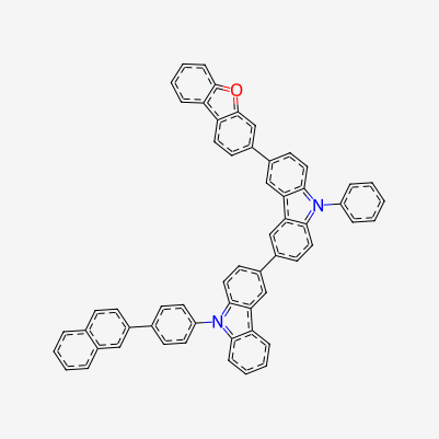 c1ccc(-n2c3ccc(-c4ccc5c(c4)oc4ccccc45)cc3c3cc(-c4ccc5c(c4)c4ccccc4n5-c4ccc(-c5ccc6ccccc6c5)cc4)ccc32)cc1